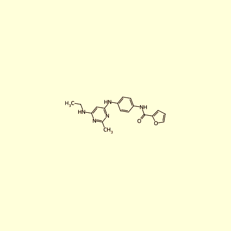 CCNc1cc(Nc2ccc(NC(=O)c3ccco3)cc2)nc(C)n1